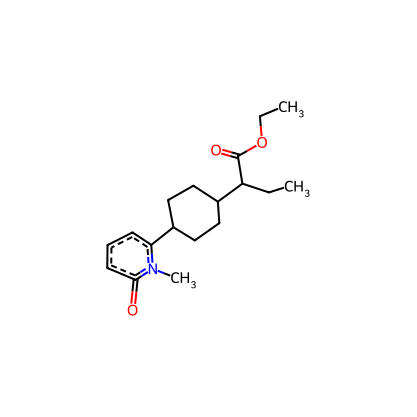 CCOC(=O)C(CC)C1CCC(c2cccc(=O)n2C)CC1